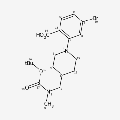 CN(CC1CCN(c2cc(Br)ccc2C(=O)O)CC1)C(=O)OC(C)(C)C